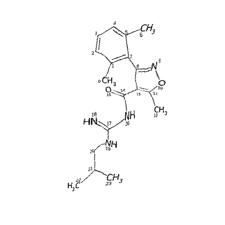 Cc1cccc(C)c1-c1noc(C)c1C(=O)NC(=N)NCC(C)C